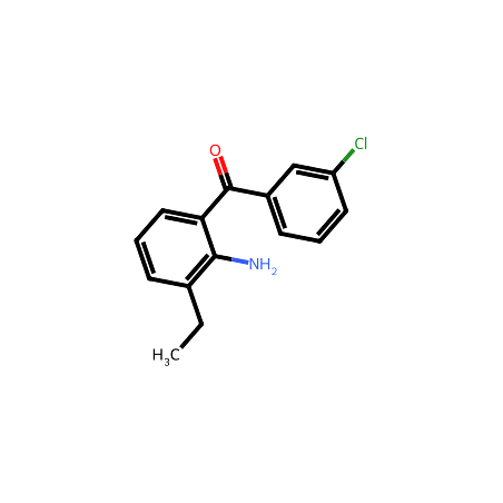 CCc1cccc(C(=O)c2cccc(Cl)c2)c1N